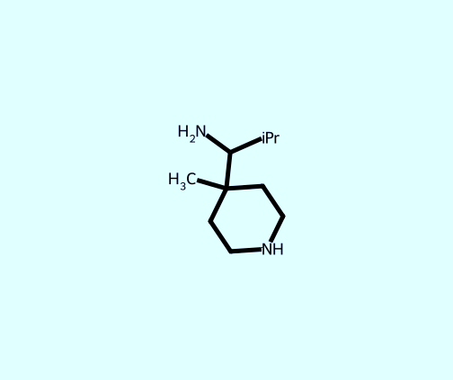 CC(C)C(N)C1(C)CCNCC1